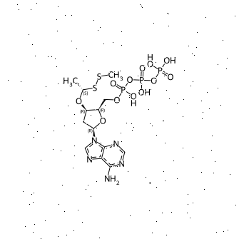 CSS[C@@H](C)O[C@@H]1C[C@H](n2cnc3c(N)ncnc32)O[C@@H]1COP(=O)(O)OP(=O)(O)OP(=O)(O)O